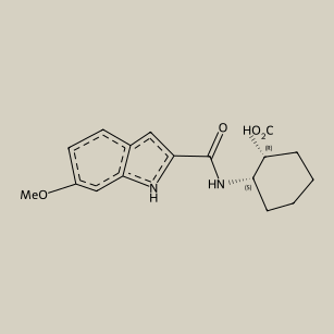 COc1ccc2cc(C(=O)N[C@H]3CCCC[C@H]3C(=O)O)[nH]c2c1